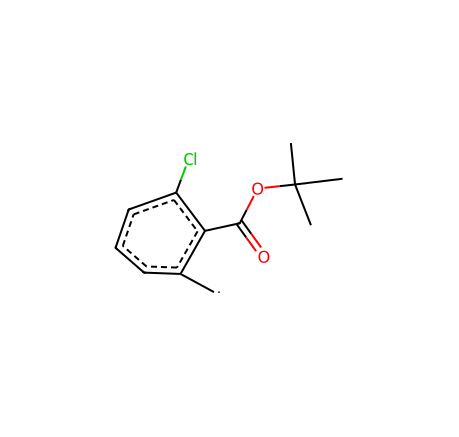 [CH2]c1cccc(Cl)c1C(=O)OC(C)(C)C